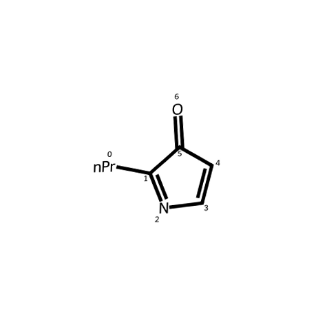 CCCC1=NC=CC1=O